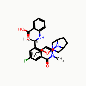 CCON1CC2CCC(C1)N2c1cc2c([C@@H](C)Nc3ccccc3C(=O)O)cc(F)cc2c(=O)n1C